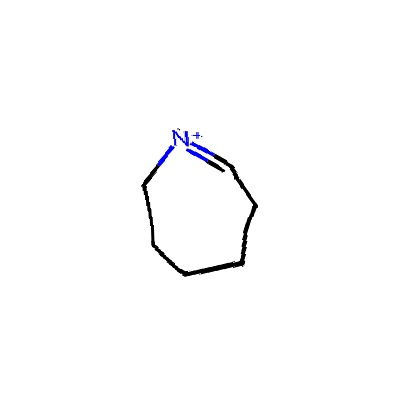 C1=[N+]CCCCC1